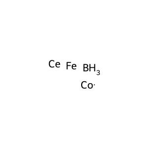 B.[Ce].[Co].[Fe]